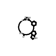 O=C1CCc2c(ccc3[nH]ccc23)Cc2cccc(c2)-c2nc(n[nH]2)SCCCCCN1